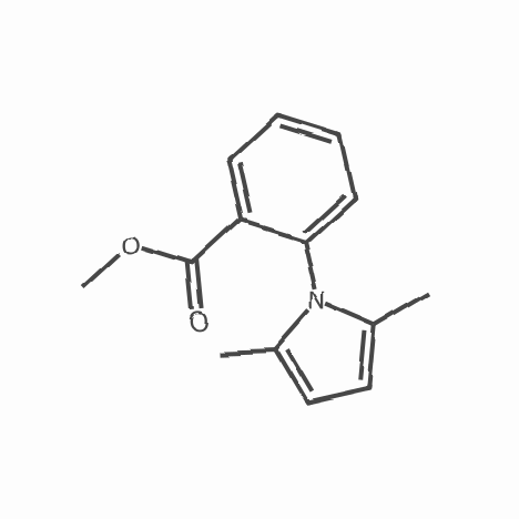 COC(=O)c1ccccc1-n1c(C)ccc1C